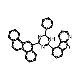 c1ccc(C2N=C(c3cc4c5ccccc5ccc4c4ccccc34)N=C(c3cccc4oc5ncccc5c34)N2)cc1